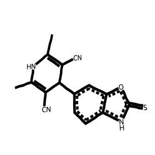 CC1=C(C#N)C(c2ccc3[nH]c(=S)oc3c2)C(C#N)=C(C)N1